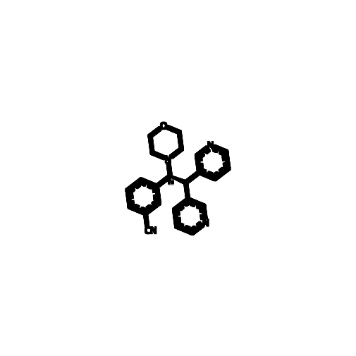 N#Cc1cccc([C@H](C(c2cccnc2)c2cccnc2)N2CCOCC2)c1